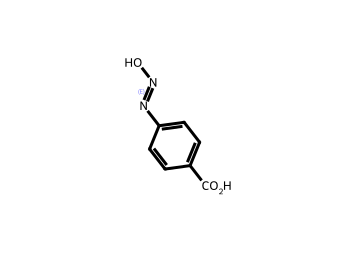 O=C(O)c1ccc(/N=N/O)cc1